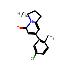 Cc1ccc(Cl)cc1-c1cc2n(c(=O)c1)[C@H](C)CC2